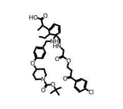 CCC1C(C(C)C(=O)O)=CC=CC1(CNCC(=O)OCCC(=O)c1ccc(Cl)cc1)NCc1ccc(OC2CCN(C(=O)OC(C)(C)C)CC2)cc1